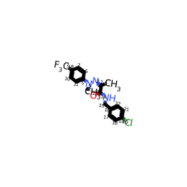 CC(=NN(C)c1ccc(C(F)(F)F)cc1)C(=O)NCc1ccc(Cl)cc1